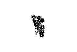 c1ccc(COC[C@H]2O[C@H](Oc3ccc(C4NCCc5c4[nH]c4ccccc54)cc3)[C@H](OCc3ccccc3)[C@H](OCc3ccccc3)[C@@H]2OCc2ccccc2)cc1